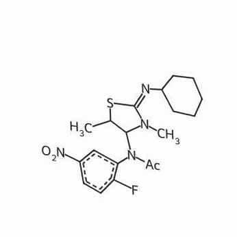 CC(=O)N(c1cc([N+](=O)[O-])ccc1F)C1C(C)SC(=NC2CCCCC2)N1C